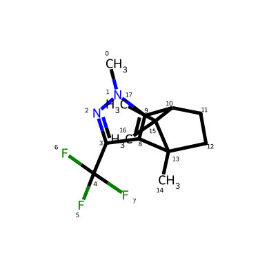 Cn1nc(C(F)(F)F)c2c1C1CCC2(C)C1(C)C